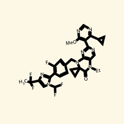 CCN1C(=O)C2(CC2)N(Cc2ccc(-c3nc(C(C)(F)F)cn3C(F)F)c(F)c2)c2nc(-c3c(OC)ncnc3C3CC3)ncc21